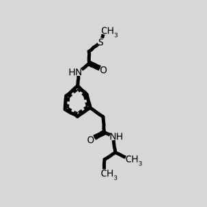 CCC(C)NC(=O)Cc1cccc(NC(=O)CSC)c1